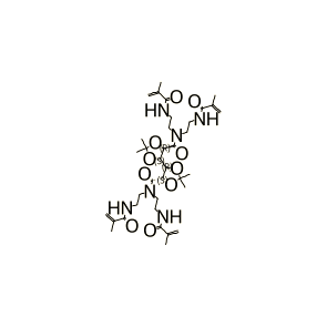 C=C(C)C(=O)NCCN(CCNC(=O)C(=C)C)C(=O)[C@H]1OC(C)(C)O[C@@H]1[C@@H]1OC(C)(C)O[C@H]1C(=O)N(CCNC(=O)C(=C)C)CCNC(=O)C(=C)C